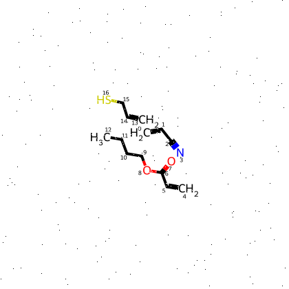 C=CC#N.C=CC(=O)OCCCC.C=CCS